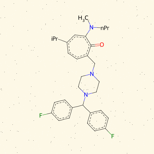 CCCN(C)c1cc(C(C)C)ccc(CN2CCN(C(c3ccc(F)cc3)c3ccc(F)cc3)CC2)c1=O